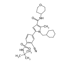 Cc1c(C(=O)NC2CCOCC2)cc(-c2ccc(S(=O)(=O)NC(C)(C)C)c(C#N)c2)n1CC1CCCCC1